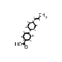 CCC[C@H]1CC[C@H](C2CCC(C(=O)O)CC2)CC1